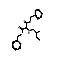 CCC(C)CNC(C(=O)OCc1ccccc1)C(=O)OCc1ccccc1